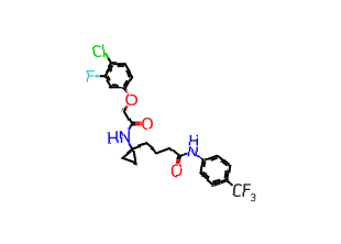 O=C(CCCC1(NC(=O)COc2ccc(Cl)c(F)c2)CC1)Nc1ccc(C(F)(F)F)cc1